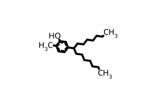 CCCCCCCC(CCCCCCC)c1ccc(C)c(O)c1